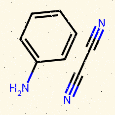 N#CC#N.Nc1ccccc1